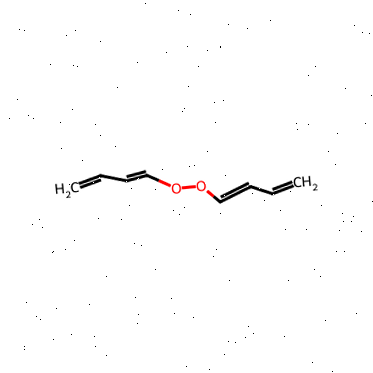 C=CC=COOC=CC=C